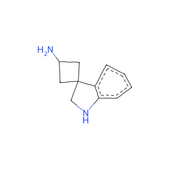 NC1CC2(CNc3ccccc32)C1